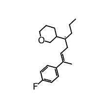 CCC[C](CC=C(C)c1ccc(F)cc1)C1CCCOC1